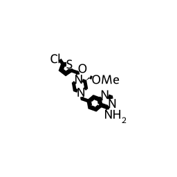 COC[C@@H]1CN(Cc2ccc3c(N)ncnc3c2)CCN1C(=O)c1ccc(Cl)s1